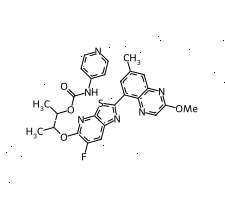 COc1cnc2c(-c3nc4cc(F)c(OC(C)C(C)OC(=O)Nc5ccncc5)nc4s3)cc(C)cc2n1